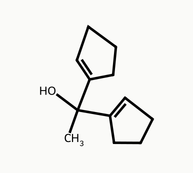 CC(O)(C1=CCCC1)C1=CCCC1